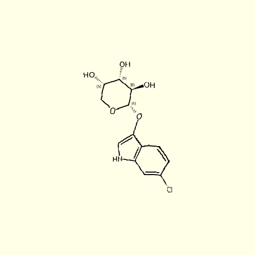 O[C@@H]1[C@@H](O)[C@H](Oc2c[nH]c3cc(Cl)ccc23)OC[C@@H]1O